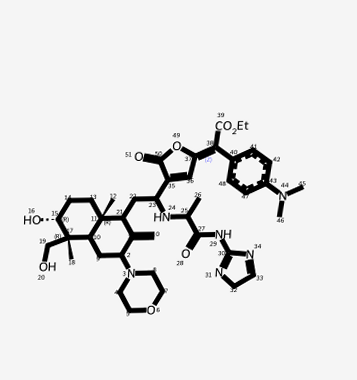 C=C1C(N2CCOCC2)CC2[C@](C)(CC[C@@H](O)[C@@]2(C)CO)C1CC(NC(C)C(=O)NC1=NCC=N1)C1=C/C(=C(/C(=O)OCC)c2ccc(N(C)C)cc2)OC1=O